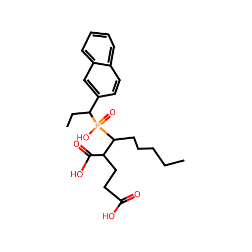 CCCCCC(C(CCC(=O)O)C(=O)O)P(=O)(O)C(CC)c1ccc2ccccc2c1